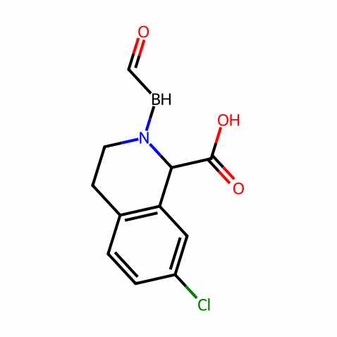 O=CBN1CCc2ccc(Cl)cc2C1C(=O)O